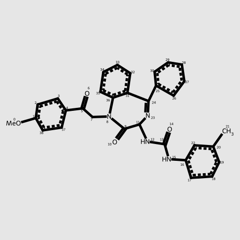 COc1ccc(C(=O)CN2C(=O)C(NC(=O)Nc3cccc(C)c3)N=C(c3ccccc3)c3ccccc32)cc1